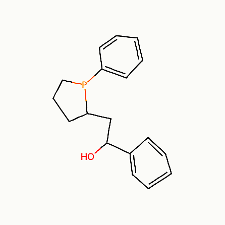 OC(CC1CCCP1c1ccccc1)c1ccccc1